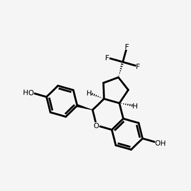 Oc1ccc([C@@H]2Oc3ccc(O)cc3[C@@H]3C[C@@H](C(F)(F)F)C[C@@H]32)cc1